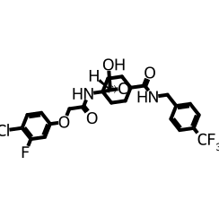 O=C(COc1ccc(Cl)c(F)c1)NC12CCC(C(=O)NCc3ccc(C(F)(F)F)cc3)(CC1)C[C@H]2O